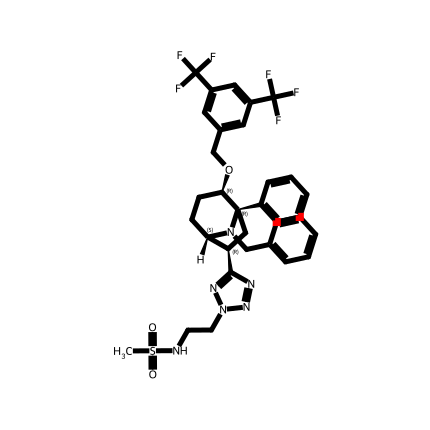 CS(=O)(=O)NCCn1nnc([C@@H]2C[C@@]3(c4ccccc4)[C@H](OCc4cc(C(F)(F)F)cc(C(F)(F)F)c4)CC[C@@H]2N3Cc2ccccc2)n1